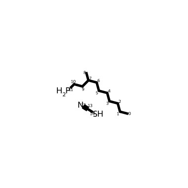 CCCCCCCC(C)CCP.N#CS